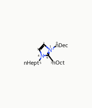 CCCCCCCCCC[n+]1ccn(CCCCCCC)c1CCCCCCCC